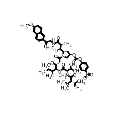 CC[C@H](C)[C@@H]([C@@H](CC(=O)N1C[C@@H](OC(=O)Oc2ccc([N+](=O)[O-])cc2)C[C@H]1[C@H](OC)[C@@H](C)C(=O)NCC(=O)c1ccc2cc(OC)ccc2c1)OC)N(C)C(=O)[C@@H](NC(=O)[C@H](C(C)C)N(C)C)C(C)C